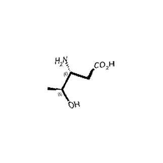 C[C@H](O)[C@H](N)CC(=O)O